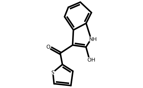 O=C(c1cccs1)c1c(O)[nH]c2ccccc12